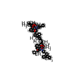 CC1C=CC=CC1c1cc2c(N(c3ccc(-c4ccc5c(c4)C(C)(c4ccccc4)c4ccccc4-5)cc3)c3ccccc3C3C=CC=C4C=CC=C(c5cc(C(C)(C)C)cc(C(C)(C)Cc6ccc(C7(C)c8ccccc8-c8c(-c9ccc(N(c%10ccc(-c%11ccccc%11)cc%10)c%10ccccc%10-c%10cccc%11cccc(-c%12cc(C(C)(C)C)cc(C(C)(C)C)c%12)c%10%11)cc9)cccc87)cc6)c5)C43)c-2c1